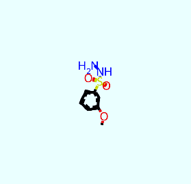 COc1cccc(S(=O)(=O)NN)c1